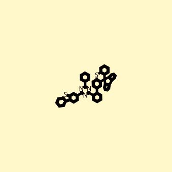 c1ccc(-c2nc(-c3ccc4c(c3)sc3ccccc34)nc(-c3ccccc3-c3ccc4c(c3)C3(c5ccccc5S4)c4ccccc4-c4ccccc43)n2)cc1